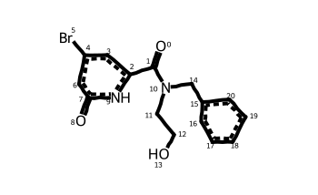 O=C(c1cc(Br)cc(=O)[nH]1)N(CCO)Cc1ccccc1